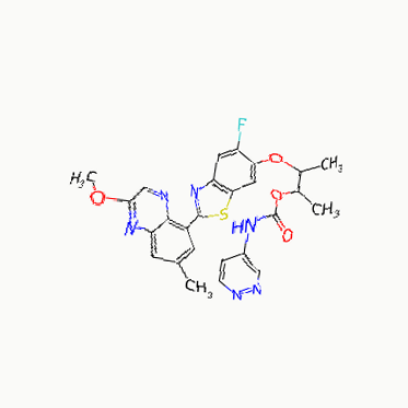 COc1cnc2c(-c3nc4cc(F)c(OC(C)C(C)OC(=O)Nc5ccnnc5)cc4s3)cc(C)cc2n1